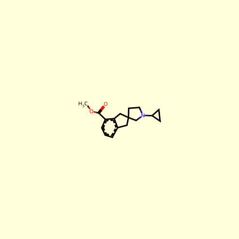 COC(=O)c1cccc2c1CC1(CCN(C3CC3)C1)C2